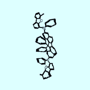 Cc1cccc2c1oc1c(N(c3ccccc3)c3ccc4c5c(ccc4c3)-c3ccc4cc(N(c6ccccc6)c6cccc7c6oc6c(C)cccc67)ccc4c3C5(c3ccccc3)c3ccccc3)cccc12